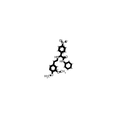 COc1ccc(CCNC(C(=O)NC2CCCCC2)c2ccc([N+](=O)[O-])cc2)cc1OC